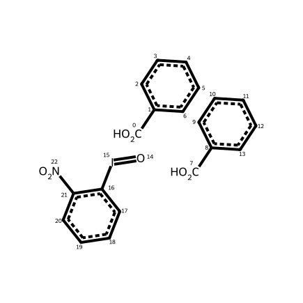 O=C(O)c1ccccc1.O=C(O)c1ccccc1.O=Ic1ccccc1[N+](=O)[O-]